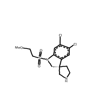 COCCS(=O)(=O)N1C[C@@]2(CCNC2)c2cc(Cl)c(Cl)cc21